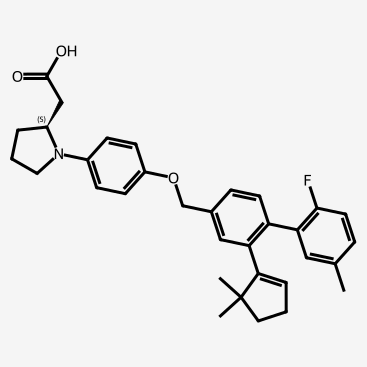 Cc1ccc(F)c(-c2ccc(COc3ccc(N4CCC[C@H]4CC(=O)O)cc3)cc2C2=CCCC2(C)C)c1